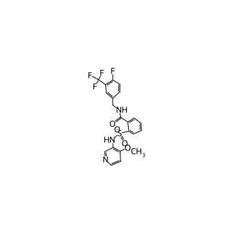 COc1ccncc1NS(=O)(=O)c1ccccc1C(=O)NCc1ccc(F)c(C(F)(F)F)c1